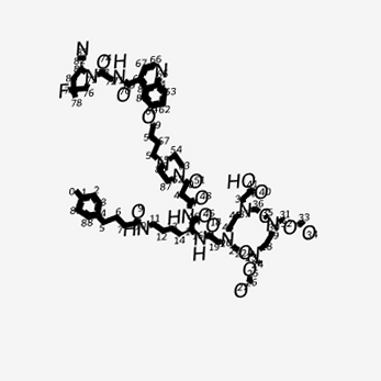 Cc1ccc(CCCC(=O)NCCCC[C@H](NC(=O)CN2CCN(COC=O)CCN(COC=O)CCN(CC(=O)O)CC2)C(=O)NC(=O)CC(=O)N2CCN(CCCCOc3ccc4nccc(C(=O)NCC(=O)N5CC(C)(F)C[C@@H]5C#N)c4c3)CC2)cc1